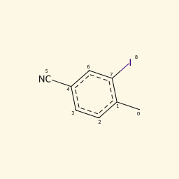 Cc1ccc(C#N)cc1I